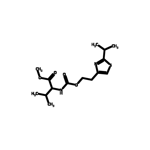 COC(=O)C(NC(=O)OCCc1csc(C(C)C)n1)C(C)C